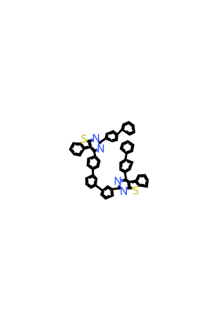 c1ccc(-c2ccc(-c3nc(-c4ccc(-c5cccc(-c6cccc(-c7nc(-c8ccc(-c9ccccc9)cc8)c8c(n7)sc7ccccc78)c6)c5)cc4)c4c(n3)sc3ccccc34)cc2)cc1